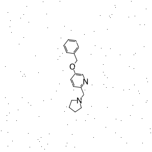 c1ccc(COc2ccc(CN3CCCC3)nc2)cc1